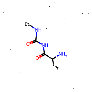 CCNC(=O)NC(=O)C(N)C(C)C